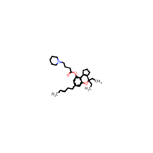 CCCCCc1cc(OC(=O)CCCN2CCCCC2)c2c(c1)OC(CC)(CC)C1=C2CCC1